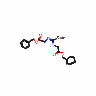 CS/C(=N/CC(=O)OCc1ccccc1)NCC(=O)OCc1ccccc1